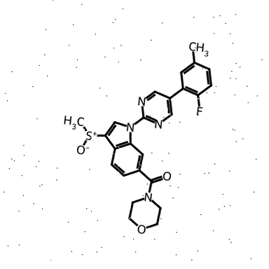 Cc1ccc(F)c(-c2cnc(-n3cc([S+](C)[O-])c4ccc(C(=O)N5CCOCC5)cc43)nc2)c1